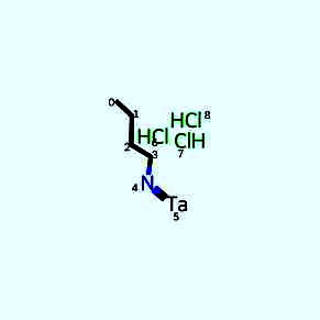 CCCC[N]=[Ta].Cl.Cl.Cl